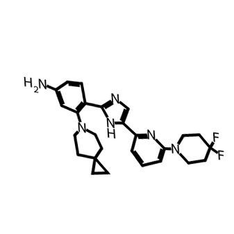 Nc1ccc(-c2ncc(-c3cccc(N4CCC(F)(F)CC4)n3)[nH]2)c(N2CCC3(CC2)CC3)c1